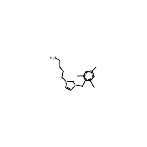 Cc1cc(C)c(CN2C=CN(CCCCN)C2)c(C)c1